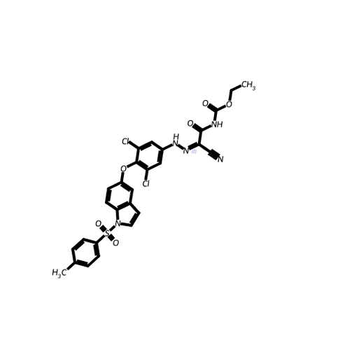 CCOC(=O)NC(=O)/C(C#N)=N\Nc1cc(Cl)c(Oc2ccc3c(ccn3S(=O)(=O)c3ccc(C)cc3)c2)c(Cl)c1